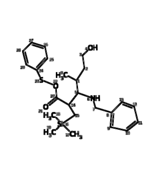 CC(CCO)C(NCc1ccccc1)C(C[Si](C)(C)C)C(=O)OSc1ccccc1